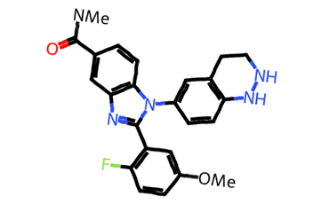 CNC(=O)c1ccc2c(c1)nc(-c1cc(OC)ccc1F)n2-c1ccc2c(c1)CCNN2